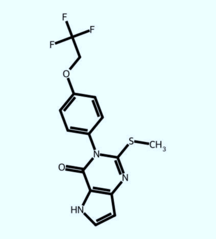 CSc1nc2cc[nH]c2c(=O)n1-c1ccc(OCC(F)(F)F)cc1